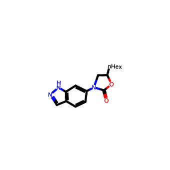 CCCCCCC1CN(c2ccc3cn[nH]c3c2)C(=O)O1